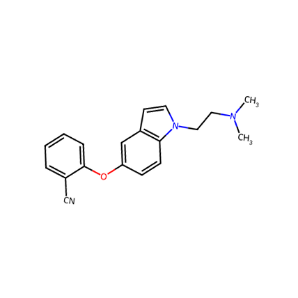 CN(C)CCn1ccc2cc(Oc3ccccc3C#N)ccc21